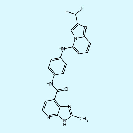 Cc1nc2c(C(=O)Nc3ccc(Nc4cccc5nc(C(F)F)cn45)cc3)ccnc2[nH]1